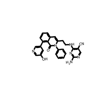 N#Cc1cnc(N)nc1NCCc1cc2cccc(-c3cncc(O)c3)c2c(=O)n1-c1ccccc1